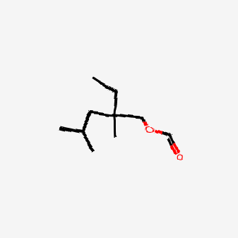 CCC(C)(CO[C]=O)CC(C)C